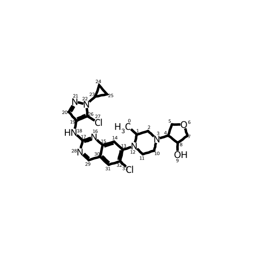 CC1CN(C2COCC2O)CCN1c1cc2nc(Nc3cnn(C4CC4)c3Cl)ncc2cc1Cl